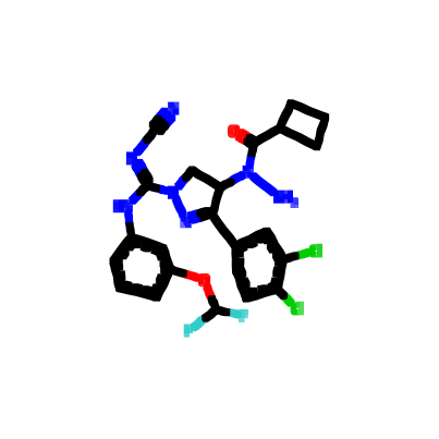 N#CN=C(Nc1cccc(OC(F)F)c1)N1CC(N(N)C(=O)C2CCC2)C(c2ccc(Cl)c(Cl)c2)=N1